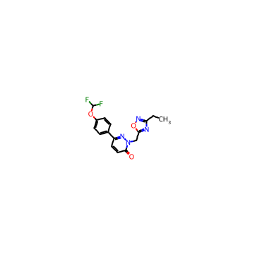 CCc1noc(Cn2nc(-c3ccc(OC(F)F)cc3)ccc2=O)n1